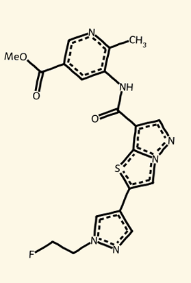 COC(=O)c1cnc(C)c(NC(=O)c2cnn3cc(-c4cnn(CCF)c4)sc23)c1